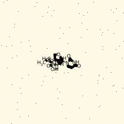 COC[C@@]12CO[C@H]([C@H](n3ccc(=O)[nH]c3=O)CO1)[C@@H]2NP(=O)(O)OC